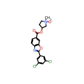 C[N+]1([O-])CCC(OC(=O)c2ccc3nc(-c4cc(Cl)cc(Cl)c4)oc3c2)C1